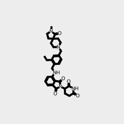 CCc1cc(CN2CCC3(CC2)CCN(C)C3=O)ccc1CNc1cccc2c1C(=O)N(C1CCC(=O)NC1=O)C2=O